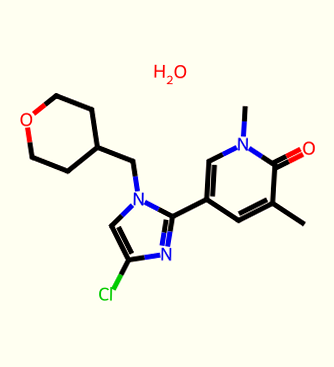 Cc1cc(-c2nc(Cl)cn2CC2CCOCC2)cn(C)c1=O.O